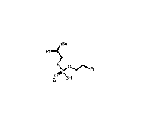 CCCCC(CC)CSP(=O)(S)OCCC(C)C.[Zn]